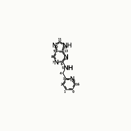 c1ccc(CNc2ncc3nc[nH]c3n2)nc1